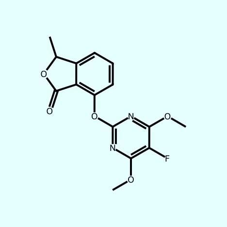 COc1nc(Oc2cccc3c2C(=O)OC3C)nc(OC)c1F